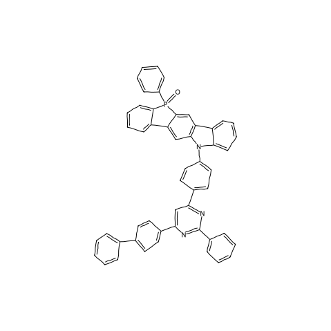 O=P1(c2ccccc2)c2ccccc2-c2cc3c(cc21)c1ccccc1n3-c1ccc(-c2cc(-c3ccc(-c4ccccc4)cc3)nc(-c3ccccc3)n2)cc1